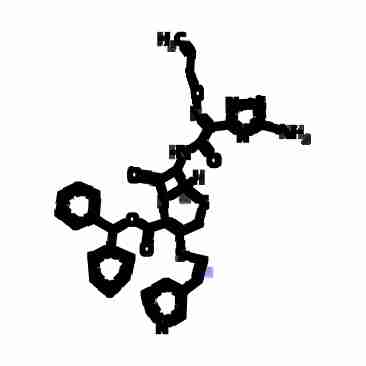 C=CCON=C(C(=O)NC1C(=O)N2C(C(=O)OC(c3ccccc3)c3ccccc3)=C(S/C=C\c3cccnc3)CS[C@@H]12)c1nsc(N)n1